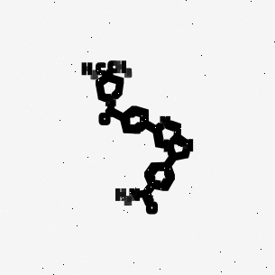 CC1(C)CCN(C(=O)c2ccc(C3=CN4C(=NCC4c4ccc(C(N)=O)cc4)C=N3)cc2)CC1